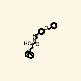 O=C(NCCc1ccc(OCc2ccccc2)cc1)C(O)CCC12CC3CC(CC(C3)C1)C2